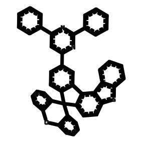 c1ccc(-c2cc(-c3ccc4c(c3)-c3c(ccc5sc6ccccc6c35)C43c4ccccc4Oc4ccccc43)nc(-c3ccccc3)n2)cc1